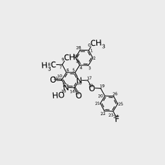 Cc1ccc(-c2c(C(C)C)c(=O)n(O)c(=O)n2COCc2ccc(F)cc2)cc1